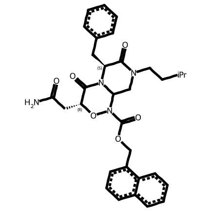 CC(C)CCN1CC2N(C(=O)OCc3cccc4ccccc34)O[C@H](CC(N)=O)C(=O)N2[C@@H](Cc2ccccc2)C1=O